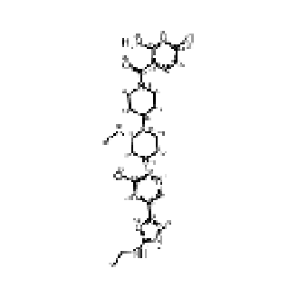 CCNc1nnc(-c2cnc(N3CCN(C4CCN(C(=O)c5ccc(Cl)nc5N)CC4)[C@@H](CC)C3)c(Cl)n2)o1